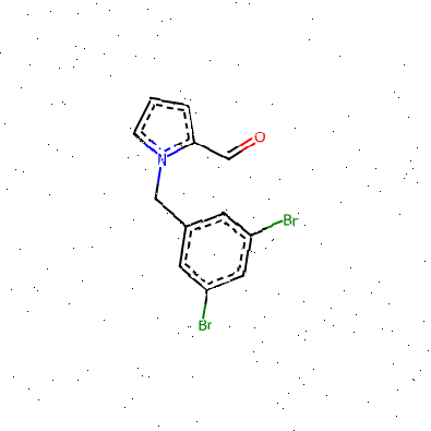 O=Cc1cccn1Cc1cc(Br)cc(Br)c1